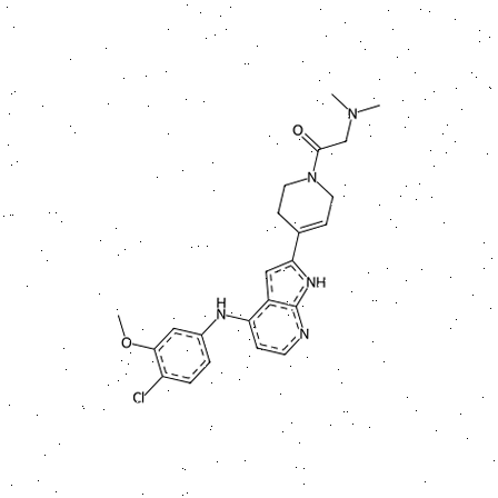 COc1cc(Nc2ccnc3[nH]c(C4=CCN(C(=O)CN(C)C)CC4)cc23)ccc1Cl